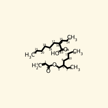 C=CC(=O)OCC(CC)CCCC.CCC=C(CCCCCC)C(=O)O